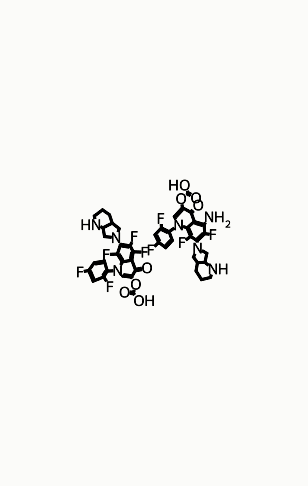 Nc1c(F)c(N2CC3CCCNC3C2)c(F)c2c1c(=O)c(OC(=O)O)cn2-c1ccc(F)cc1F.O=C(O)Oc1cn(-c2ccc(F)cc2F)c2c(F)c(N3CC4CCCNC4C3)c(F)c(F)c2c1=O